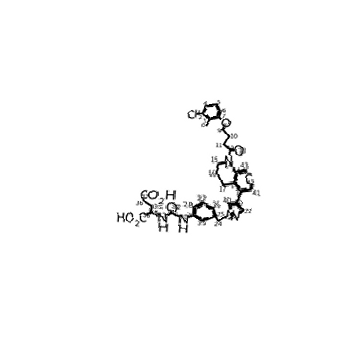 Cc1c(Cl)cccc1OCCCC(=O)N1CCCc2c(-c3cnn(Cc4cccc(NC(=O)NC(CCC(=O)O)C(=O)O)c4)c3)cccc21